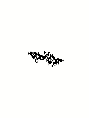 O=C(c1ccc(N(c2nccn3c(-c4c[nH]nc4C(F)(F)F)cnc23)C(F)F)cc1Cl)N1CCNCC1